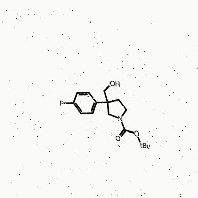 CC(C)(C)OC(=O)N1CCC(CO)(c2ccc(F)cc2)C1